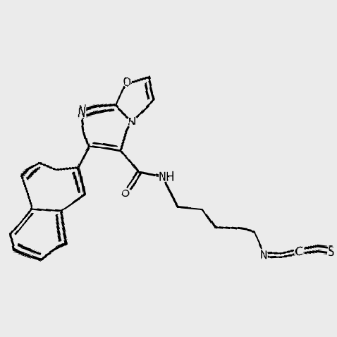 O=C(NCCCCN=C=S)c1c(-c2ccc3ccccc3c2)nc2occn12